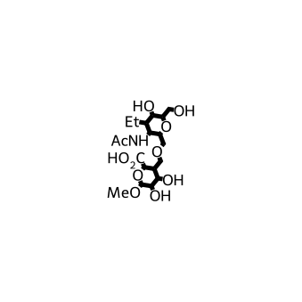 CCC1C(O)C(CO)OC(COCC2C(C(=O)O)OC(OC)C(O)C2O)C1NC(C)=O